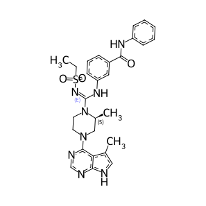 CCS(=O)(=O)/N=C(\Nc1cccc(C(=O)Nc2ccccc2)c1)N1CCN(c2ncnc3[nH]cc(C)c23)C[C@@H]1C